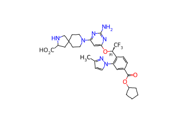 Cc1ccn(-c2cc(C(=O)OC3CCCC3)ccc2[C@@H](Oc2cc(N3CCC4(CC3)CNC(C(=O)O)C4)nc(N)n2)C(F)(F)F)n1